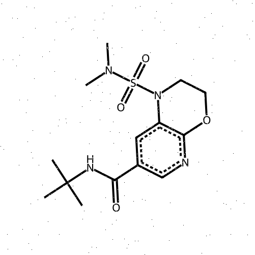 CN(C)S(=O)(=O)N1CCOc2ncc(C(=O)NC(C)(C)C)cc21